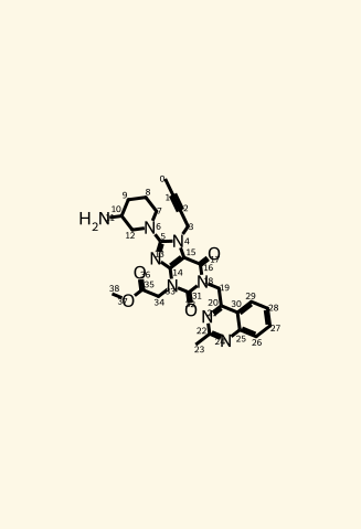 CC#CCn1c(N2CCCC(N)C2)nc2c1c(=O)n(Cc1nc(C)nc3ccccc13)c(=O)n2CC(=O)OC